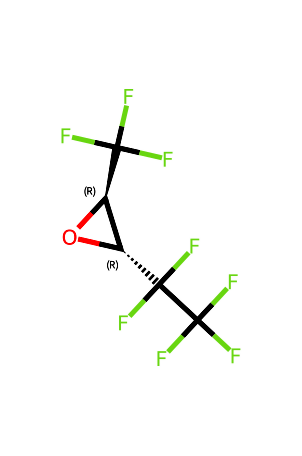 FC(F)(F)[C@@H]1O[C@H]1C(F)(F)C(F)(F)F